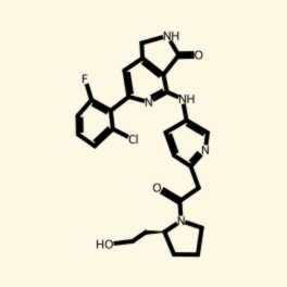 O=C1NCc2cc(-c3c(F)cccc3Cl)nc(Nc3ccc(CC(=O)N4CCC[C@H]4CCO)nc3)c21